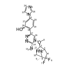 CO[C@H]1C2CC(F)(F)[C@@](C)(C[C@@H]1N(C)c1ncc(-c3ccc(-n4ccnc4)cc3O)nn1)N2